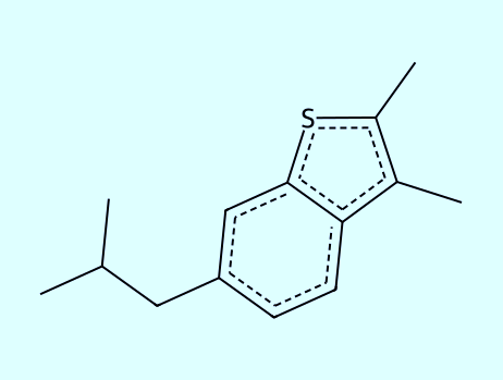 Cc1sc2cc(CC(C)C)ccc2c1C